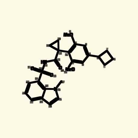 COc1cc(C2CCC2)cc(OC)c1C1(C(=O)NS(=O)(=O)c2cccc3ccn(C)c23)CC1